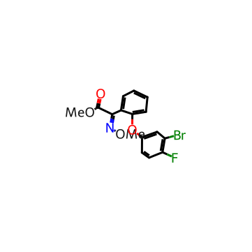 CO/N=C(/C(=O)OC)c1ccccc1Oc1ccc(F)c(Br)c1